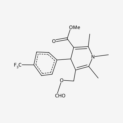 COC(=O)C1=C(C)N(C)C(C)=C(COC=O)C1c1ccc(C(F)(F)F)cc1